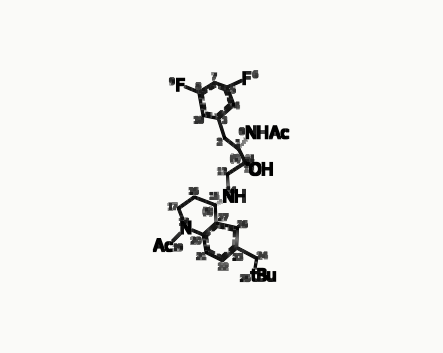 CC(=O)N[C@@H](Cc1cc(F)cc(F)c1)[C@@H](O)CN[C@H]1CCN(C(C)=O)c2ccc(CC(C)(C)C)cc21